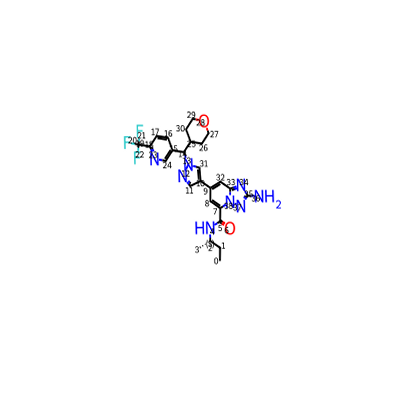 CC[C@H](C)NC(=O)c1cc(-c2cnn(C(c3ccc(C(F)(F)F)nc3)C3CCOCC3)c2)cc2nc(N)nn12